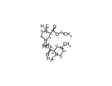 CCOC(=O)C1CN(C)CCN1C.CN1CCN(C)C(C(=O)O)C1